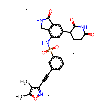 Cc1onc(C#Cc2cccc(S(=O)(=O)Nc3cc(C4CCC(=O)NC4=O)cc4c3CNC4=O)c2)c1C